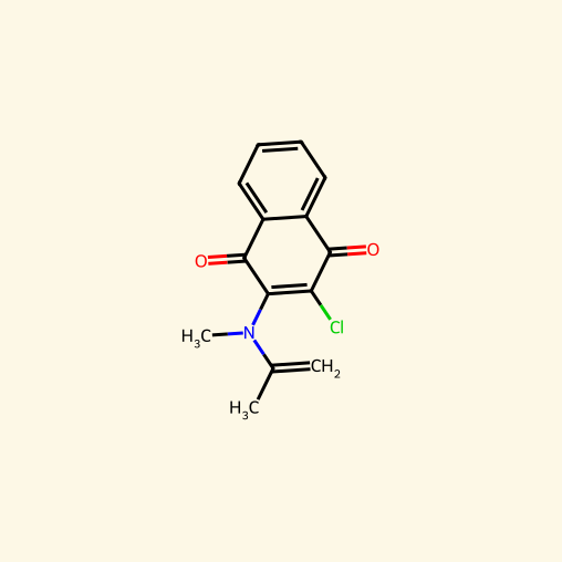 C=C(C)N(C)C1=C(Cl)C(=O)c2ccccc2C1=O